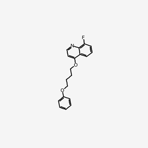 Fc1cccc2c(OCCCCOc3ccccc3)ccnc12